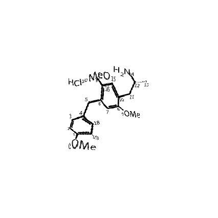 COc1ccc(Cc2cc(OC)c(C[C@@H](C)N)cc2OC)cc1.Cl